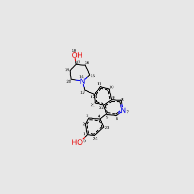 Oc1ccc(-c2cncc3ccc(CN4CCC(O)CC4)cc23)cc1